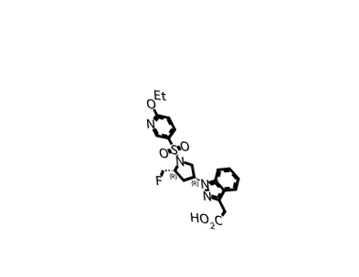 CCOc1ccc(S(=O)(=O)N2C[C@H](n3nc(CC(=O)O)c4ccccc43)C[C@@H]2CF)cn1